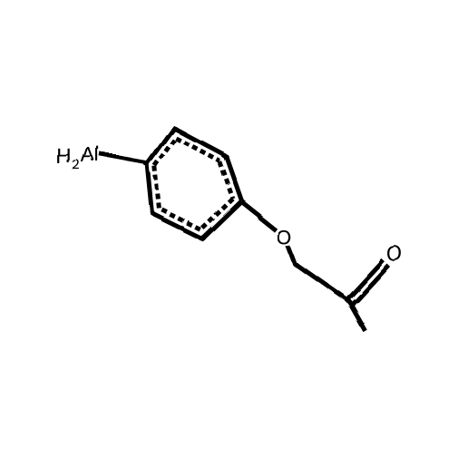 CC(=O)COc1cc[c]([AlH2])cc1